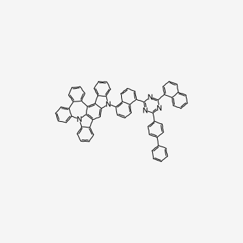 c1ccc(-c2ccc(-c3nc(-c4cccc5ccccc45)nc(-c4cccc5c(-n6c7ccccc7c7c8c9c(cc76)c6ccccc6n9-c6ccccc6-c6ccccc6-8)cccc45)n3)cc2)cc1